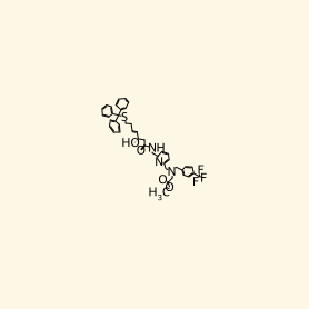 COC(=O)CN(Cc1ccc(C(F)(F)F)cc1)Cc1cccc(CNC(=O)C[C@H](O)/C=C/CCSC(c2ccccc2)(c2ccccc2)c2ccccc2)n1